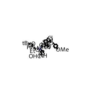 CCC(CNC(=O)OC(C)(C)C)O/N=C(/C(=O)NC1C(=O)N2C(C(=O)OCc3ccc(OC)cc3)=C(CCl)CS[C@H]12)c1csc(NC=O)n1